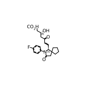 O=C(O)C[C@H](O)CC(=O)C=C[C@@H]1N(c2ccc(F)cc2)C(=O)CC12CCCC2